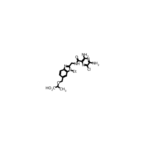 CCn1c(CNC(=O)c2nc(Cl)c(N)nc2N)nc2ccc(COC(C)C(=O)O)cc21